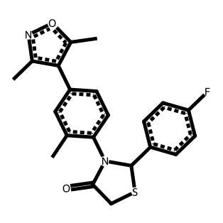 Cc1cc(-c2c(C)noc2C)ccc1N1C(=O)CSC1c1ccc(F)cc1